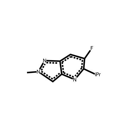 CC(C)c1nc2cn(C)nc2cc1F